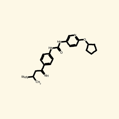 CNC(C)CC(=N)c1ccc(NC(=O)Nc2ccc(OC3CCCC3)nc2)cc1